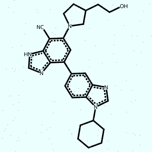 N#Cc1c(N2CCC(CCO)C2)cc(-c2ccc3c(c2)ncn3C2CCCCC2)c2nc[nH]c12